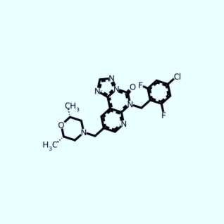 C[C@@H]1CN(Cc2cnc3c(c2)c2ncnn2c(=O)n3Cc2c(F)cc(Cl)cc2F)C[C@H](C)O1